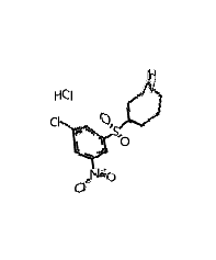 Cl.O=[N+]([O-])c1cc(Cl)cc(S(=O)(=O)C2CCCNC2)c1